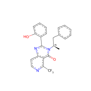 C[C@H](Cc1ccccc1)n1c(-c2ccccc2O)nc2ccnc(C(F)(F)F)c2c1=O